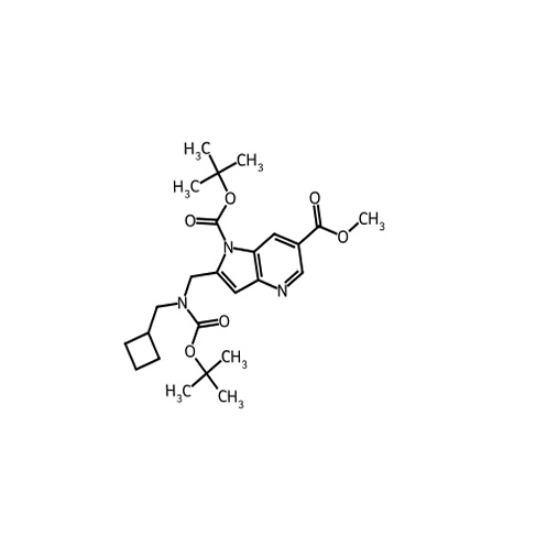 COC(=O)c1cnc2cc(CN(CC3CCC3)C(=O)OC(C)(C)C)n(C(=O)OC(C)(C)C)c2c1